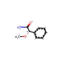 CO[C@H](C(N)=O)c1ccccc1